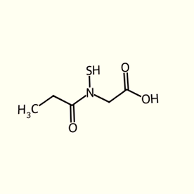 CCC(=O)N(S)CC(=O)O